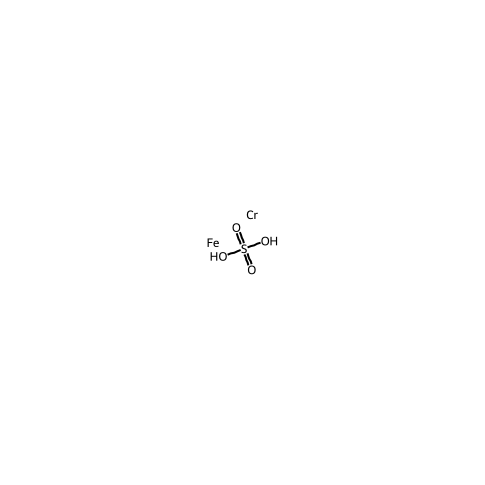 O=S(=O)(O)O.[Cr].[Fe]